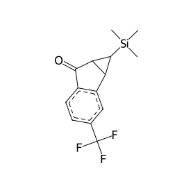 C[Si](C)(C)C1C2C(=O)c3ccc(C(F)(F)F)cc3C21